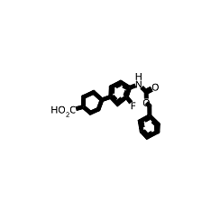 O=C(Nc1ccc(C2CCC(C(=O)O)CC2)cc1F)OCc1ccccc1